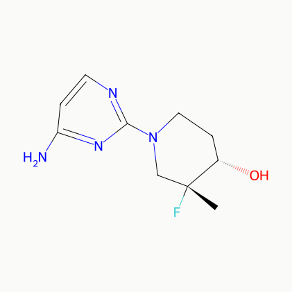 C[C@@]1(F)CN(c2nccc(N)n2)CC[C@@H]1O